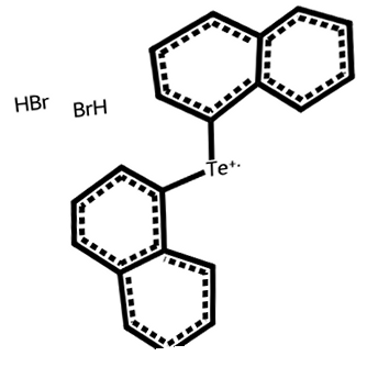 Br.Br.c1ccc2c([Te+]c3cccc4ccccc34)cccc2c1